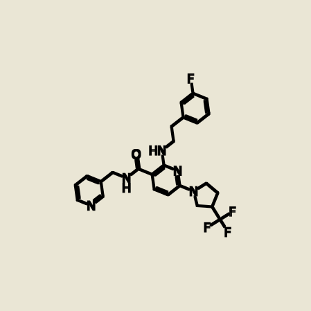 O=C(NCc1cccnc1)c1ccc(N2CCC(C(F)(F)F)C2)nc1NCCc1cccc(F)c1